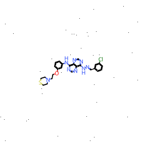 Clc1cccc(C=NNc2ncnc3c(Nc4cccc(OCCN5CCSCC5)c4)ncnc23)c1